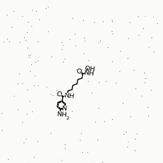 Nc1ccc(C(=O)NCCCCCCC(=O)NO)cn1